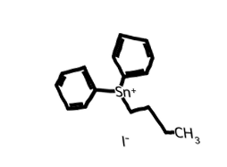 CCC[CH2][Sn+]([c]1ccccc1)[c]1ccccc1.[I-]